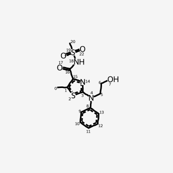 Cc1sc(N(CCO)c2ccccc2)nc1C(=O)NS(C)(=O)=O